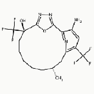 C[C@@H]1CCCCC[C@](O)(C(F)(F)F)c2nnc(o2)-c2nc(c(C(F)(F)F)cc2N)C1